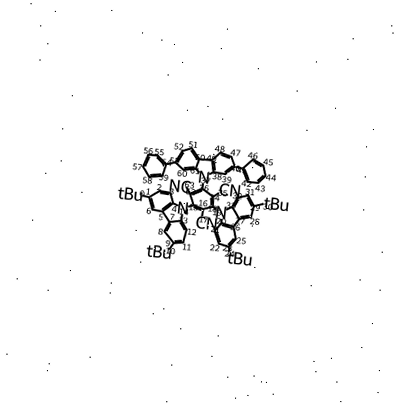 CC(C)(C)c1ccc2c(c1)c1cc(C(C)(C)C)ccc1n2-c1c(C#N)c(-n2c3ccc(C(C)(C)C)cc3c3cc(C(C)(C)C)ccc32)c(C#N)c(-n2c3cc(-c4ccccc4)ccc3c3ccc(-c4ccccc4)cc32)c1C#N